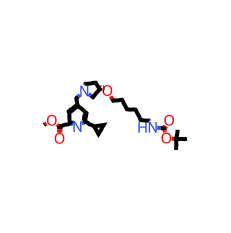 COC(=O)c1cc(CN2CC[C@H](OCCCCCCNC(=O)OC(C)(C)C)C2)cc(C2CC2)n1